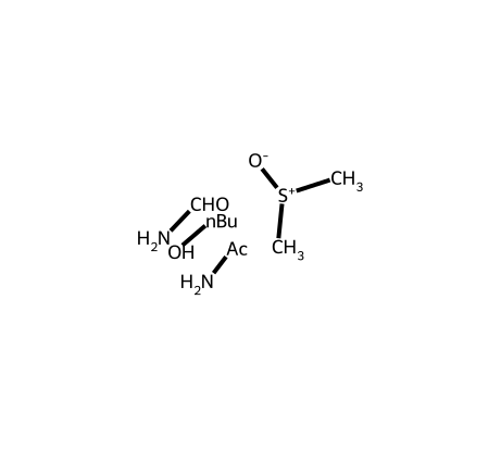 CC(N)=O.CCCCO.C[S+](C)[O-].NC=O